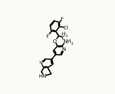 CC(Oc1cc(-c2cnc3c(c2)CNC3)cnc1N)c1c(F)ccc(F)c1Cl